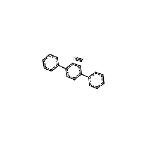 C#N.c1ccc(-c2ccc(-c3ccccc3)cc2)cc1